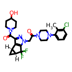 Cc1c(Cl)cccc1N1CCN(C(=O)Cn2nc(C(=O)N3CCC(O)CC3)c3c2C(F)(F)[C@H]2C[C@@H]32)CC1